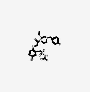 CC[C@@H]1CN(Cc2ccc(F)cc2)CCN1C(=O)COc1ccc(Br)cc1CS(=O)(=O)NC(C)=O